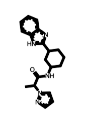 CC(C(=O)NC1CCCC(c2nc3ccccc3[nH]2)C1)n1cccn1